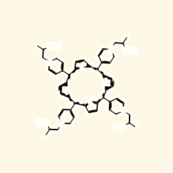 CC(O)CN1C=CC(c2c3nc(c(C4=CCN(CC(C)O)C=C4)c4ccc([nH]4)c(C4=CCN(CC(C)O)C=C4)c4nc(c(C5=CCN(CC(C)O)C=C5)c5ccc2[nH]5)C=C4)C=C3)=CC1